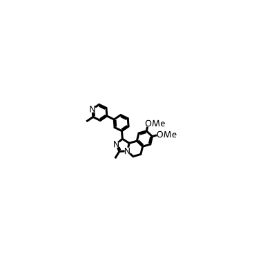 COc1cc2c(cc1OC)C1C(c3cccc(-c4ccnc(C)c4)c3)N=C(C)N1CC2